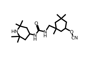 CC1(C)CC(OC#N)CC(C)(CNC(=O)NC2CC(C)(C)NC(C)(C)C2)C1